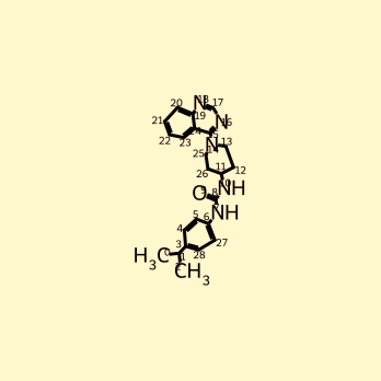 CC(C)c1ccc(NC(=O)NC2CCN(c3ncnc4ccccc34)CC2)cc1